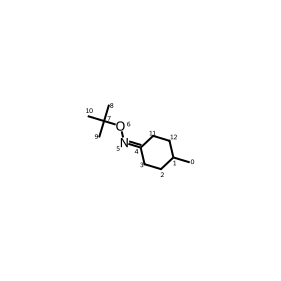 CC1CCC(=NOC(C)(C)C)CC1